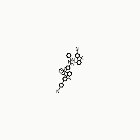 CC1(C)c2cc(C#N)ccc2-c2c(-c3nc(-c4ccccc4)nc(-c4ccc(C5(c6cccc7sc8cc(-c9ccc(C#N)cc9)ccc8c67)C6(F)CC7CC(C6)CC5(F)C7)cc4)n3)cccc21